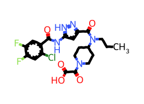 CCCN(C(=O)c1cc(NC(=O)c2cc(F)c(F)cc2Cl)[nH]n1)C1CCN(C(=O)C(=O)O)CC1